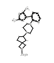 CCOC(=O)N1CC2(CCC(N3CCN(c4ncccc4-c4sc(C)nc4C)CC3)C2)C1